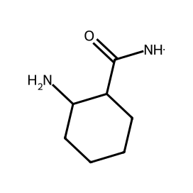 [NH]C(=O)C1CCCCC1N